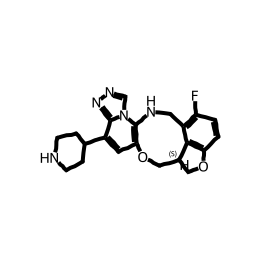 Fc1ccc2c3c1CNc1c(cc(C4CCNCC4)c4nncn14)OC[C@@H]3CO2